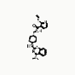 C=CSc1ncccc1C(=O)NC[C@H]1CC[C@@H](Nc2nc(N(C)C)c3ccccc3n2)CC1